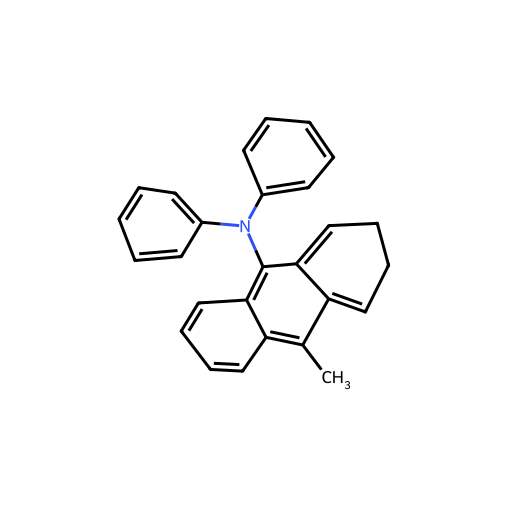 Cc1c2c(c(N(c3ccccc3)c3ccccc3)c3ccccc13)=CCCC=2